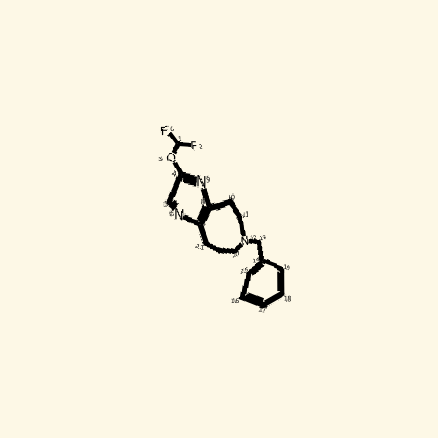 FC(F)Oc1cnc2c(n1)CCN(Cc1ccccc1)CC2